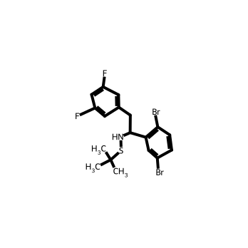 CC(C)(C)SNC(Cc1cc(F)cc(F)c1)c1cc(Br)ccc1Br